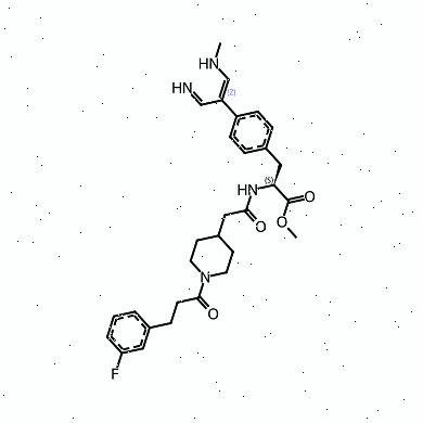 CN/C=C(\C=N)c1ccc(C[C@H](NC(=O)CC2CCN(C(=O)CCc3cccc(F)c3)CC2)C(=O)OC)cc1